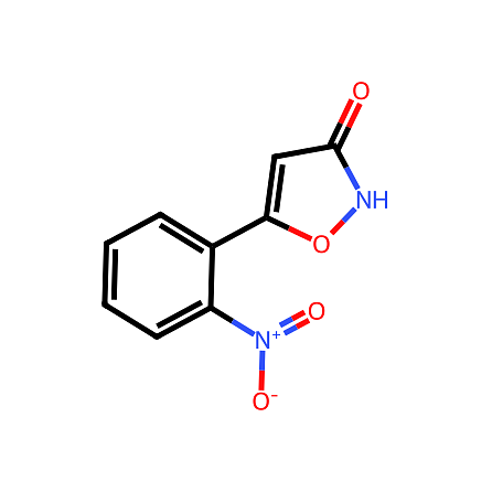 O=c1cc(-c2ccccc2[N+](=O)[O-])o[nH]1